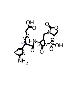 Nc1nc(/C(=N/OCC(=O)O)C(=O)N[C@@H]2C(=O)N(S(=O)(=O)O)C2CN2CCOC2=O)cs1